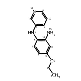 CCOc1ccc(Nc2cccnc2)c(N)c1